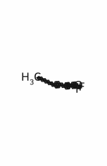 CCCCCCCCCCC1CCC(CCc2ccc(-c3ccc(OC(F)F)cc3)cc2)CC1